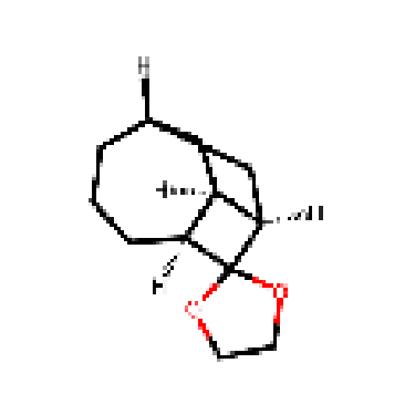 C1C[C@@H]2C[C@H]3[C@@H](C2)C2(OCCO2)[C@H]3C1